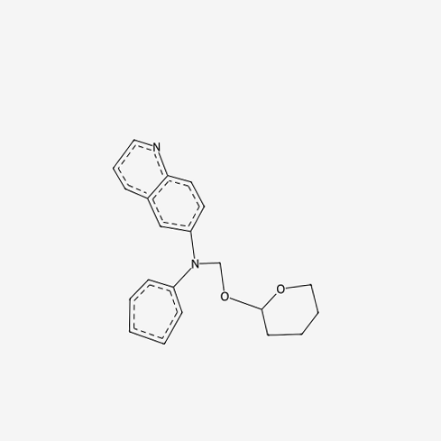 c1ccc(N(COC2CCCCO2)c2ccc3ncccc3c2)cc1